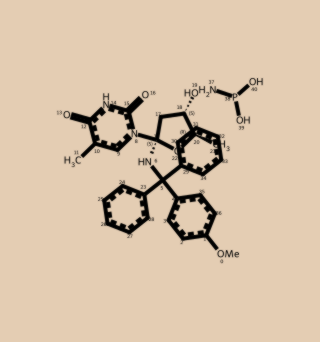 COc1ccc(C(N[C@]2(n3cc(C)c(=O)[nH]c3=O)C[C@H](O)[C@@H](C)O2)(c2ccccc2)c2ccccc2)cc1.NP(O)O